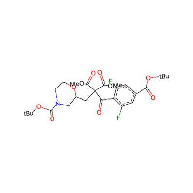 COC(=O)C(CC1CN(C(=O)OC(C)(C)C)CCO1)(C(=O)OC)C(=O)c1c(F)cc(C(=O)OC(C)(C)C)cc1F